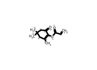 C=CC(=O)OC1=C(C)CC(C)(C)CC1=O